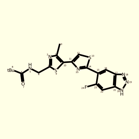 Cc1nc(CNC(=O)C(C)(C)C)sc1-c1csc(-c2cc3nn[nH]c3cc2F)n1